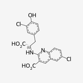 O=C(O)c1cc2cc(Cl)ccc2nc1N[C@@H](Cc1ccc(O)c(Cl)c1)C(=O)O